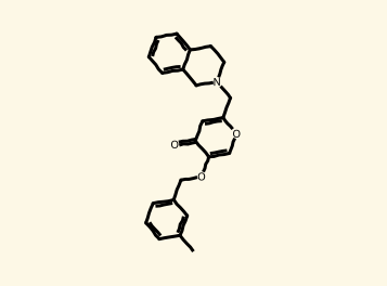 Cc1cccc(COc2coc(CN3CCc4ccccc4C3)cc2=O)c1